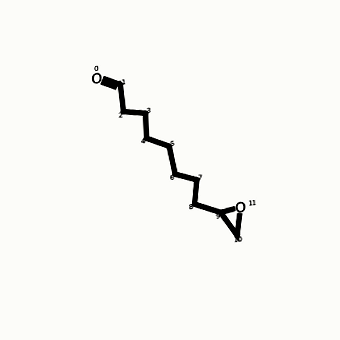 O=[C]CCCCCCCC1CO1